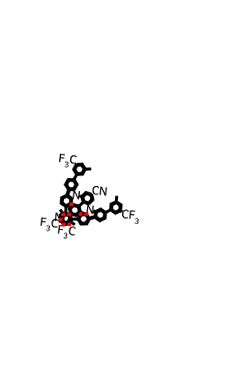 Cc1cc(-c2ccc3c4ccc(-c5cc(C)cc(C(F)(F)F)c5)cc4n(-c4cc(C#N)cc(-n5c6cc(-c7cc(C)cc(C(F)(F)F)c7)ccc6c6ccc(-c7cc(C)cc(C(F)(F)F)c7)cc65)c4-c4ccc(C#N)cc4C)c3c2)cc(C(F)(F)F)c1